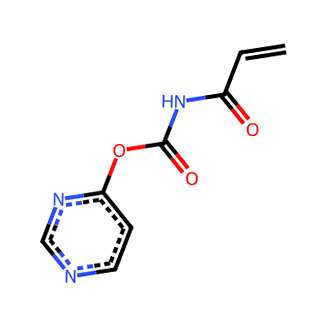 C=CC(=O)NC(=O)Oc1ccncn1